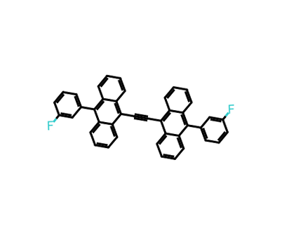 Fc1cccc(-c2c3ccccc3c(C#Cc3c4ccccc4c(-c4cccc(F)c4)c4ccccc34)c3ccccc23)c1